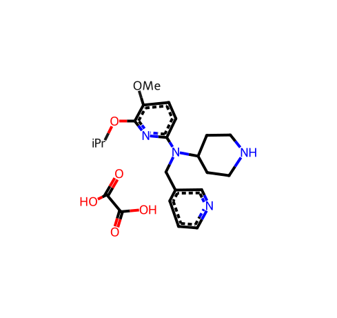 COc1ccc(N(Cc2cccnc2)C2CCNCC2)nc1OC(C)C.O=C(O)C(=O)O